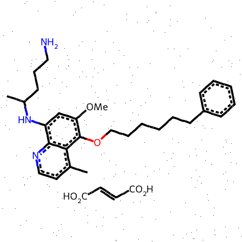 COc1cc(NC(C)CCCN)c2nccc(C)c2c1OCCCCCCc1ccccc1.O=C(O)C=CC(=O)O